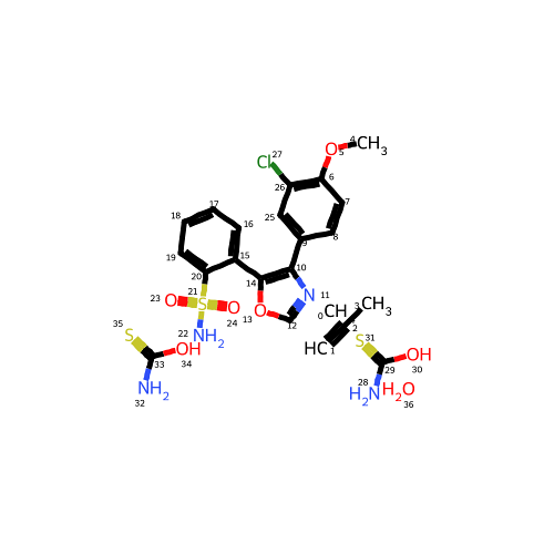 C.C#CC.COc1ccc(-c2ncoc2-c2ccccc2S(N)(=O)=O)cc1Cl.NC(O)=S.NC(O)=S.O